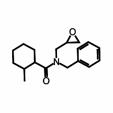 CC1CCCCC1C(=O)N(Cc1ccccc1)CC1CO1